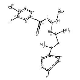 Cc1ccc(C(N)CC(N)N/C(=N\C(=O)c2ccc(Cl)c(F)c2)NC(C)(C)C)cc1